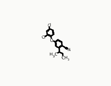 CCC(C)c1cc(Oc2ccc(Cl)cc2Cl)ccc1C#N